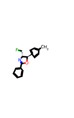 Cc1ccc([C@H]2OC(c3ccccc3)=N[C@@H]2CF)cc1